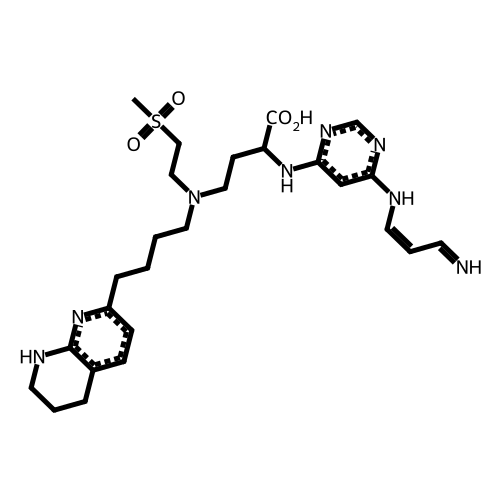 CS(=O)(=O)CCN(CCCCc1ccc2c(n1)NCCC2)CCC(Nc1cc(N/C=C\C=N)ncn1)C(=O)O